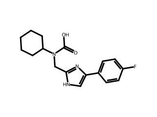 O=C(O)N(Cc1nc(-c2ccc(F)cc2)c[nH]1)C1CCCCC1